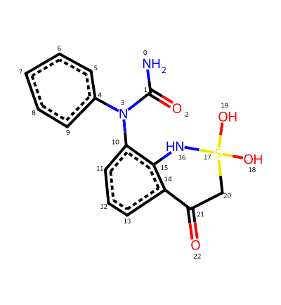 NC(=O)N(c1ccccc1)c1cccc2c1NS(O)(O)CC2=O